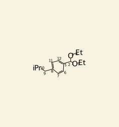 CCOC(OCC)c1ccc(CC(C)C)cc1